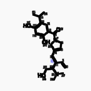 C=C/C(=C\C1=CCN(C(=O)c2cc(C(C)C)c(O)cc2O)C1)C(CO)N(C)C